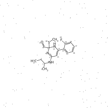 CCC(C)NC1=NC(C=O)(SC)NC(c2ccccc2F)=C1